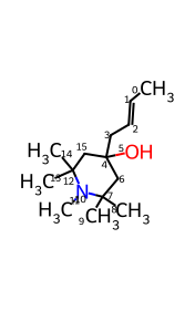 CC=CCC1(O)CC(C)(C)N(C)C(C)(C)C1